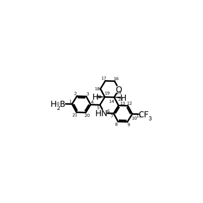 Bc1ccc(C2Nc3ccc(C(F)(F)F)cc3[C@H]3OCCC[C@@H]23)cc1